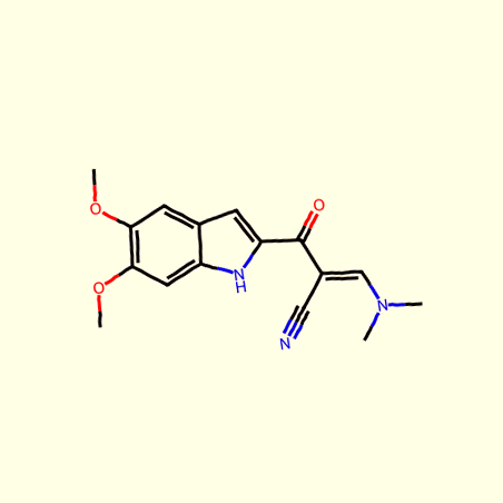 COc1cc2cc(C(=O)/C(C#N)=C/N(C)C)[nH]c2cc1OC